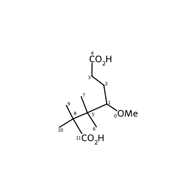 COC(CCC(=O)O)C(C)(C)C(C)(C)C(=O)O